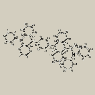 c1ccc(-c2c3ccccc3c(-c3ccc(-c4c5ccccc5c(-c5nc6ccccc6n5-c5ccccc5)c5ccccc45)cc3)c3ccccc23)cc1